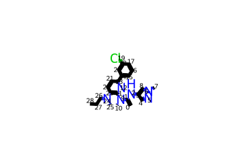 C=C(Nc1cnn(C)c1)N(C)c1nc(-c2cccc(Cl)c2)ccc1N(C)CCC